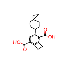 O=C(O)c1cc(C2CCC3(CC2)CC3)c(C(=O)O)c2c1CC2